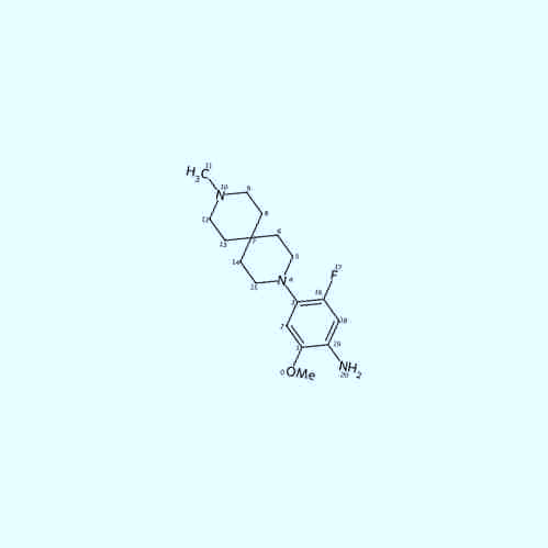 COc1cc(N2CCC3(CCN(C)CC3)CC2)c(F)cc1N